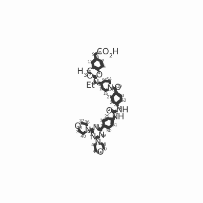 CCN(C(=O)Oc1ccc(CC(=O)O)cc1C)C1CCN(C(=O)c2ccc(NC(=O)Nc3ccc(-c4nc(N5CCOCC5)nc(N5CCOCC5)n4)cc3)cc2)CC1